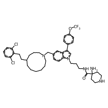 NC1(C(=O)NCCCn2cc(-c3ccc(OC(F)(F)F)cc3)c3cc(CN4CCCCCCC(CCc5c(Cl)cccc5Cl)CCC4)ccc32)CCNCC1